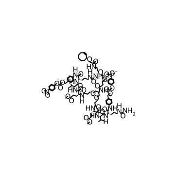 COC(=O)CC[C@H](NC(=O)CCOCC(COCCC(=O)N[C@@H](CCC(=O)OC)C(=O)N[C@H](C(=O)N[C@@H](CCCNC(N)=O)C(=O)Nc1ccc(COC(=O)Oc2ccc([N+](=O)[O-])cc2)cc1)C(C)C)NC(=O)CCOCCOCCNC(=O)COC1C#CCCCCC1)C(=O)N[C@H](C(=O)N[C@@H](CCCNC(N)=O)C(=O)Nc1ccc(COC(=O)Oc2ccc([N+](=O)[O-])cc2)cc1)C(C)C